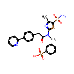 Cc1nc(N(C)C(=O)Cc2ccc(-c3ccccn3)cc2)sc1S(N)(=O)=O.O=S(=O)(O)c1ccccc1